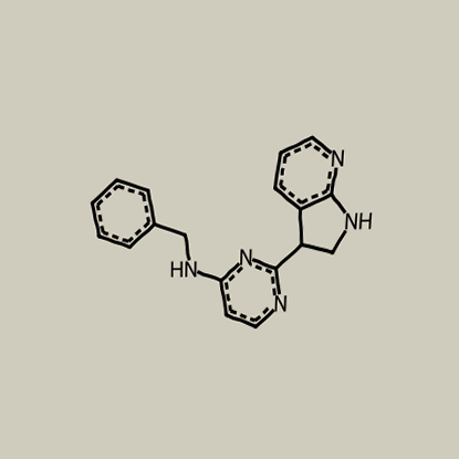 c1ccc(CNc2ccnc(C3CNc4ncccc43)n2)cc1